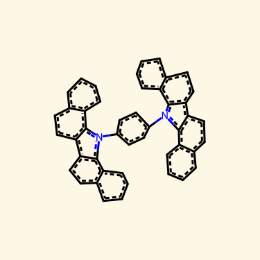 c1ccc2c(c1)ccc1c3ccc4ccccc4c3n(-c3ccc(-n4c5c6ccccc6ccc5c5ccc6ccccc6c54)cc3)c21